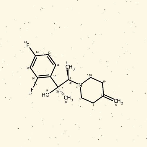 C=C1CCN([C@H](C)[C@@](C)(O)c2ccc(F)cc2F)CC1